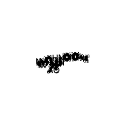 C=CCn1c(=O)c2cnc(Nc3ccc(N4CCN(CCN(C)C)CC4)cc3)nc2n1-c1cccc(-c2cnccn2)n1